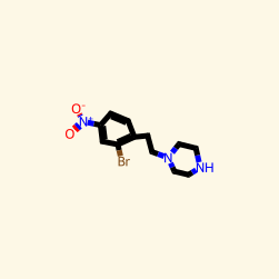 O=[N+]([O-])c1ccc(CCN2CCNCC2)c(Br)c1